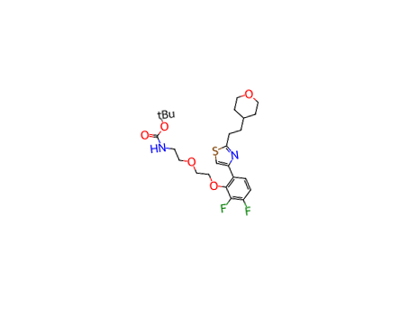 CC(C)(C)OC(=O)NCCOCCOc1c(-c2csc(CCC3CCOCC3)n2)ccc(F)c1F